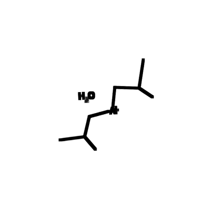 CC(C)[CH2][Al][CH2]C(C)C.O